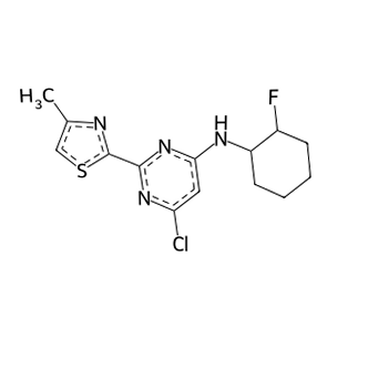 Cc1csc(-c2nc(Cl)cc(NC3CCCCC3F)n2)n1